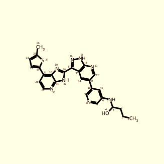 CCCC(O)Nc1cncc(-c2cnc3[nH]nc(-c4nc5c(-c6ccc(C)s6)ccnc5[nH]4)c3c2)c1